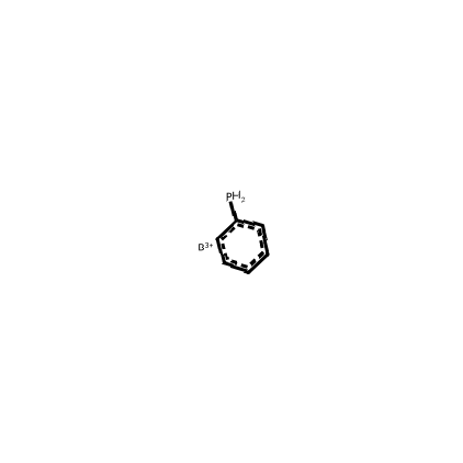 Pc1ccccc1.[B+3]